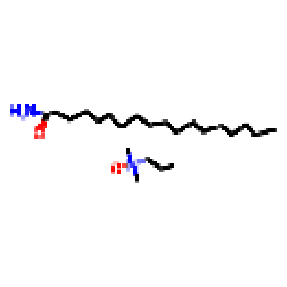 CCCCCCCCCCCCCCCCCC(N)=O.CCC[N+](C)(C)[O-]